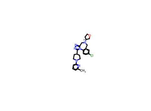 Cc1cccc(N2CCC(c3nnc4n3-c3ccc(Cl)cc3CN([C@H]3CCOC3)C4)CC2)n1